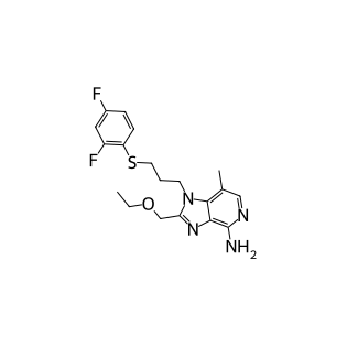 CCOCc1nc2c(N)ncc(C)c2n1CCCSc1ccc(F)cc1F